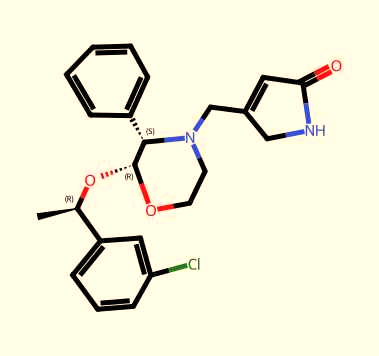 C[C@@H](O[C@H]1OCCN(CC2=CC(=O)NC2)[C@H]1c1ccccc1)c1cccc(Cl)c1